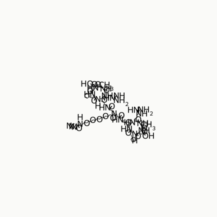 C[C@@H]1NC(=O)C(CCCNC(=N)N)NC(=O)[C@H](CCCCNC(=O)CCN(CCC(=O)NCCCC[C@@H]2NC(=O)[C@@H](Cc3ccccc3)NC(=O)[C@H](CC(=O)O)NC(=O)[C@H](C)NC(=O)[C@H](CCCNC(=N)N)NC2=O)C(=O)CCOCCOCCOCCOCCNC(=O)CN=[N+]=[N-])NC(=O)[C@@H](Cc2ccccc2)NC(=O)[C@H](CC(=O)O)NC1=O